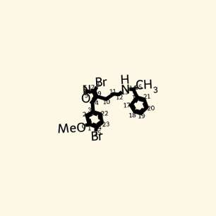 COc1cc(-c2onc(Br)c2CCCN[C@@H](C)c2ccccc2)ccc1Br